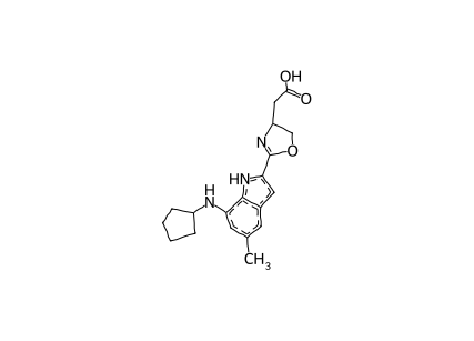 Cc1cc(NC2CCCC2)c2[nH]c(C3=NC(CC(=O)O)CO3)cc2c1